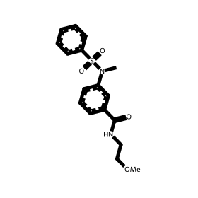 COCCNC(=O)c1cccc(N(C)S(=O)(=O)c2ccccc2)c1